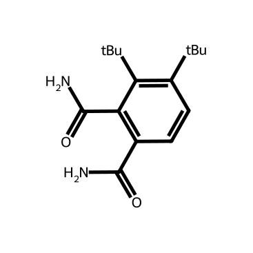 CC(C)(C)c1ccc(C(N)=O)c(C(N)=O)c1C(C)(C)C